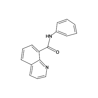 O=C(Nc1ccccc1)c1cccc2cccnc12